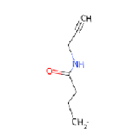 C#CCNC(=O)CC[CH2]